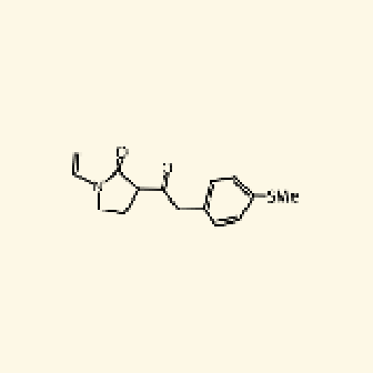 C=CN1CCC(C(=O)Cc2ccc(SC)cc2)C1=O